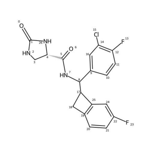 O=C1NC[C@@H](C(=O)NC(c2ccc(F)c(Cl)c2)C2Cc3ccc(F)cc32)N1